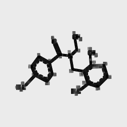 [CH2]c1ccc(C(=O)N(CC)Cc2c(C)cccc2C)cc1